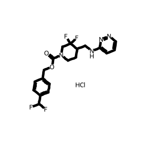 Cl.O=C(OCc1ccc(C(F)F)cc1)N1CCC(CNc2cccnn2)C(F)(F)C1